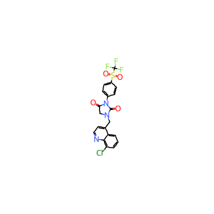 O=C1CN(Cc2ccnc3c(Cl)cccc23)C(=O)N1c1ccc(S(=O)(=O)C(F)(F)F)cc1